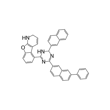 C1=Cc2c(oc3cccc(C4=NC(c5ccc6ccc(-c7ccccc7)cc6c5)=NC(c5ccc6ccccc6c5)N4)c23)NC1